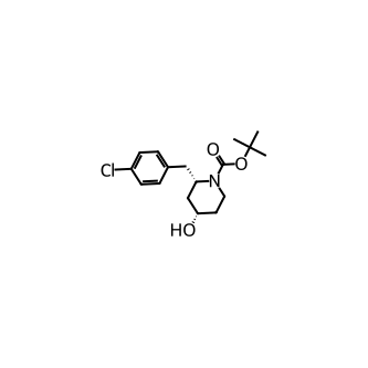 CC(C)(C)OC(=O)N1CC[C@H](O)C[C@@H]1Cc1ccc(Cl)cc1